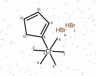 Br.Br.[CH3][Cr]([CH3])([CH3])([CH3])([CH3])[C]1=CC=CC1